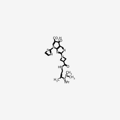 CCCN(/C(C)=C\CNC(=O)C1CN(c2ncc3c(=O)c(C(=O)O)cn(-c4nccs4)c3n2)C1)N(C)C